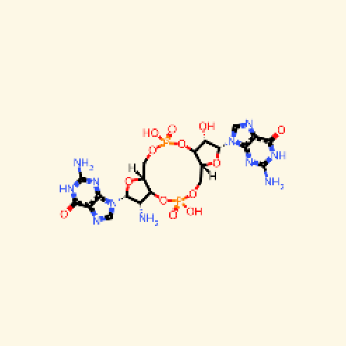 Nc1nc2c(ncn2[C@@H]2O[C@@H]3COP(=O)(O)OC4[C@@H](COP(=O)(O)OC3[C@@H]2N)O[C@@H](n2cnc3c(=O)[nH]c(N)nc32)[C@H]4O)c(=O)[nH]1